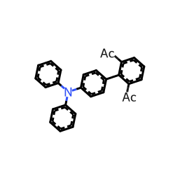 CC(=O)c1cccc(C(C)=O)c1-c1ccc(N(c2ccccc2)c2ccccc2)cc1